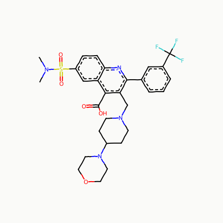 CN(C)S(=O)(=O)c1ccc2nc(-c3cccc(C(F)(F)F)c3)c(CN3CCC(N4CCOCC4)CC3)c(C(=O)O)c2c1